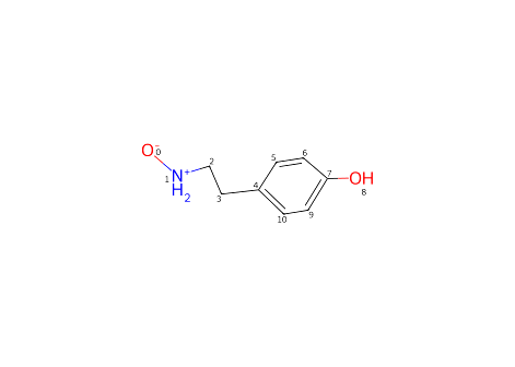 [O-][NH2+]CCc1ccc(O)cc1